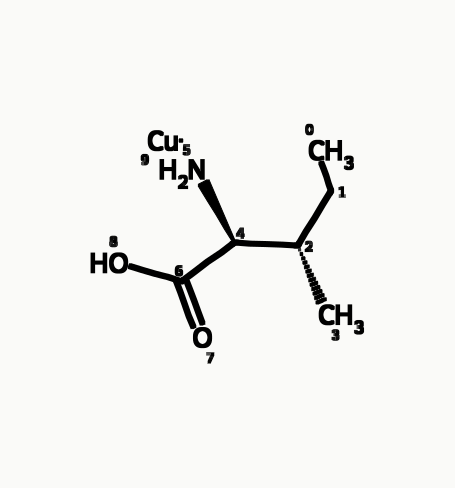 CC[C@H](C)[C@H](N)C(=O)O.[Cu]